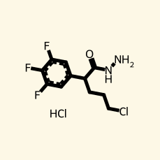 Cl.NNC(=O)C(CCCCl)c1cc(F)c(F)c(F)c1